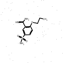 CCCOc1ccc(S(N)(=O)=O)cc1C(=N)N